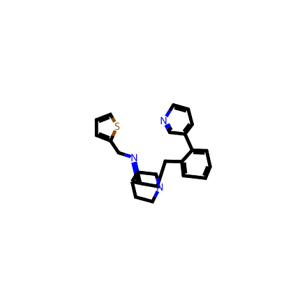 c1cncc(-c2ccccc2CC2C(=NCc3cccs3)C3CCN2CC3)c1